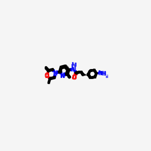 Cc1nc(N2CC(C)OC(C)C2)ccc1NC(=O)CC[C@H]1CC[C@H](N)CC1